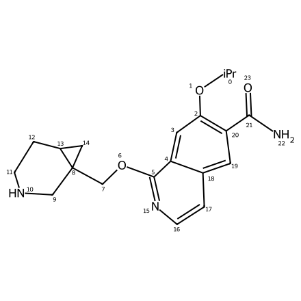 CC(C)Oc1cc2c(OCC34CNCCC3C4)nccc2cc1C(N)=O